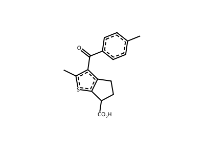 Cc1ccc(C(=O)c2c(C)sc3c2CCC3C(=O)O)cc1